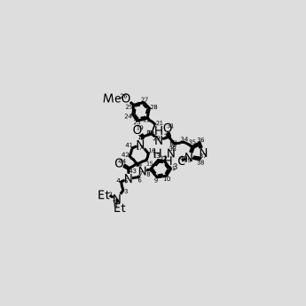 CCN(CC)CCN1CN(c2ccccc2)C2(CCN(C(=O)[C@@H](Cc3ccc(OC)cc3)NC(=O)[C@@H](N)Cc3cncn3C)CC2)C1=O